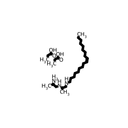 CCC(=O)O.CCC(=O)O.CCCCCCCC/C=C\CCCCCCCCNCC(C)NCC(C)N